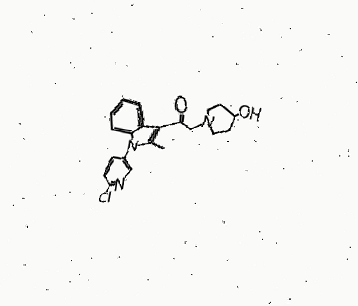 Cc1c(C(=O)CN2CCC(O)CC2)c2ccccc2n1-c1ccc(Cl)nc1